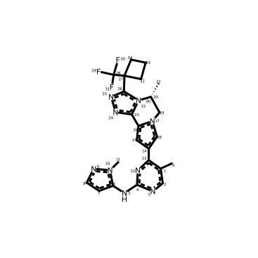 Cc1cnc(Nc2ccnn2C)nc1-c1cc2n(c1)C[C@@H](C)n1c-2nnc1C1(C(F)(F)F)CCC1